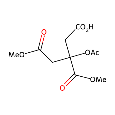 COC(=O)CC(CC(=O)O)(OC(C)=O)C(=O)OC